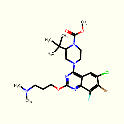 COC(=O)N1CCN(c2nc(OCCCN(C)C)nc3c(F)c(Br)c(Cl)cc23)CC1C(C)(C)C